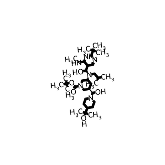 CNC(N)C(/C=N\CC(C)(C)C)C(O)N(CC(C)C)[C@H]1C[C@@H](C(O)N2CCC(C(C)(C)O)CC2)CN(C(=O)OC(C)(C)C)C1